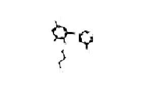 CCc1cc(O)cc(CC)c1OCCCN.FC(F)(F)c1cccnc1